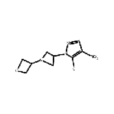 O=[N+]([O-])c1cnn(C2CN(C3COC3)C2)c1Cl